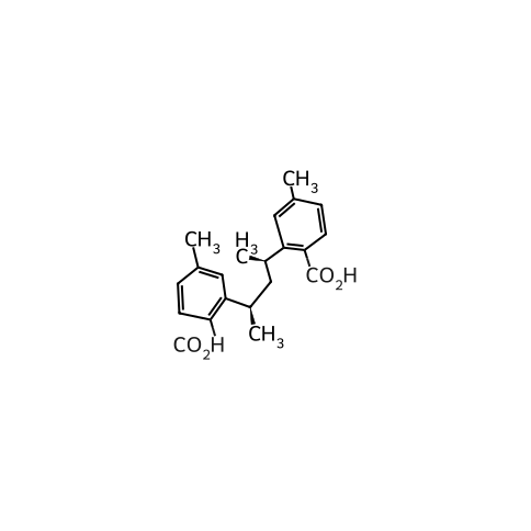 Cc1ccc(C(=O)O)c([C@H](C)C[C@@H](C)c2cc(C)ccc2C(=O)O)c1